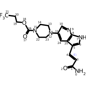 NC(=O)/C=C/c1c[nH]c2ncc(N3CCN(C(=O)OCCC(F)(F)F)CC3)cc12